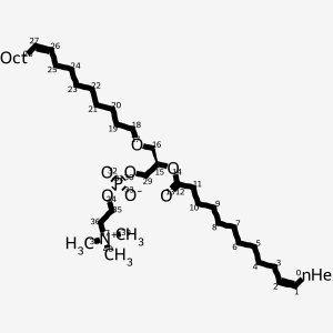 CCCCCC/C=C\CCCCCCCCCC(=O)O[C@H](COCCCCCCCC/C=C\CCCCCCCC)COP(=O)([O-])OCC[N+](C)(C)C